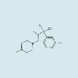 CCC(O)(c1cccc(C)c1)C(C)CN1CCN(C)CC1